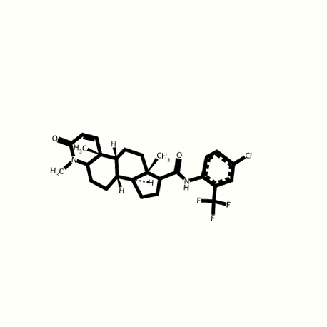 CN1C(=O)C=C[C@@]2(C)C1CC[C@@H]1[C@H]2CC[C@]2(C)C(C(=O)Nc3ccc(Cl)cc3C(F)(F)F)CC[C@@H]12